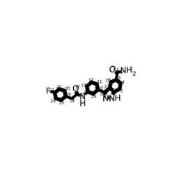 NC(=O)c1ccc2[nH]nc(-c3cccc(NC(=O)Cc4ccc(F)cc4)c3)c2c1